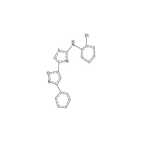 CCc1ccccc1Nc1nc(-c2cc(-c3ccccc3)no2)cs1